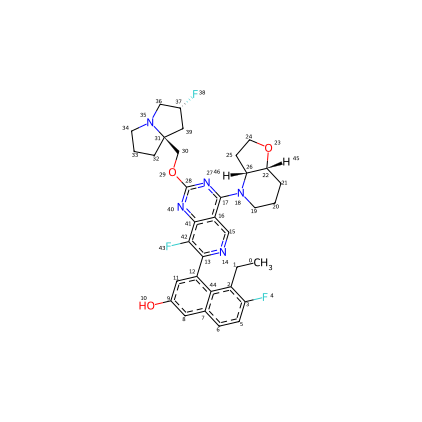 CCc1c(F)ccc2cc(O)cc(-c3ncc4c(N5CCC[C@H]6OCC[C@H]65)nc(OC[C@@]56CCCN5C[C@H](F)C6)nc4c3F)c12